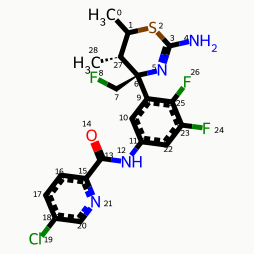 CC1SC(N)=N[C@](CF)(c2cc(NC(=O)c3ccc(Cl)cn3)cc(F)c2F)[C@@H]1C